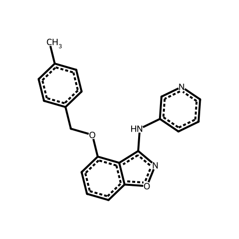 Cc1ccc(COc2cccc3onc(Nc4cccnc4)c23)cc1